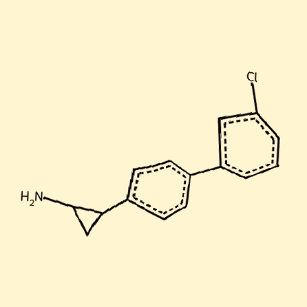 NC1CC1c1ccc(-c2cccc(Cl)c2)cc1